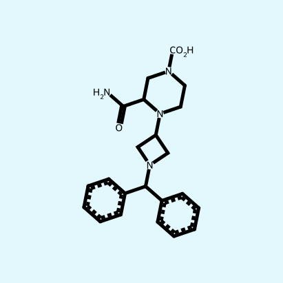 NC(=O)C1CN(C(=O)O)CCN1C1CN(C(c2ccccc2)c2ccccc2)C1